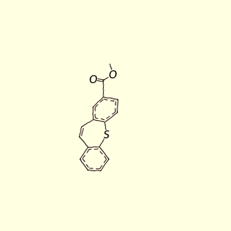 COC(=O)c1ccc2c(c1)C=Cc1ccccc1S2